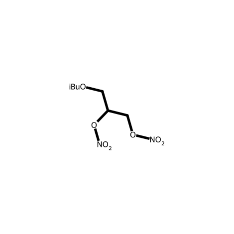 CC(C)COCC(CO[N+](=O)[O-])O[N+](=O)[O-]